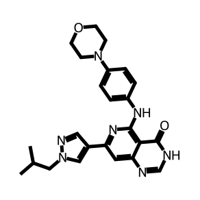 CC(C)Cn1cc(-c2cc3nc[nH]c(=O)c3c(Nc3ccc(N4CCOCC4)cc3)n2)cn1